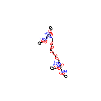 O=C(NCCCCC(NC(=O)OCc1ccccc1)C(=O)NCCCOCCOCCOCCOCCOCCCNC(=O)C(CCCCNC(=O)OCc1ccccc1)NC(=O)OCc1ccccc1)OCc1ccccc1